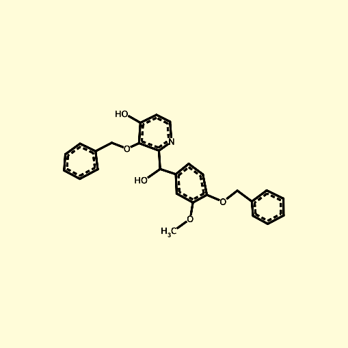 COc1cc(C(O)c2nccc(O)c2OCc2ccccc2)ccc1OCc1ccccc1